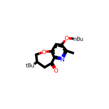 CCCCOc1cc2c(nc1C)C(=O)CC(C(C)(C)C)CO2